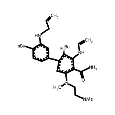 C=CCNc1cc(-c2cc(N(C)CCNC)c(C(N)=O)c(NC=C)c2[C@H](C)CC)ccc1CCCC